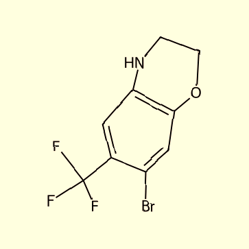 FC(F)(F)c1cc2c(cc1Br)OCCN2